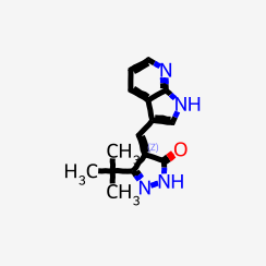 CC(C)(C)C1=NNC(=O)/C1=C\c1c[nH]c2ncccc12